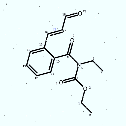 CCOC(=O)N(CC)C(=O)c1ccccc1/C=C/[C]=O